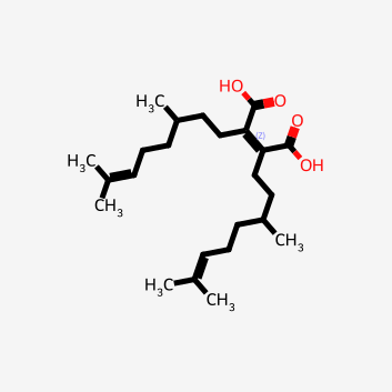 CC(C)=CCCC(C)CC/C(C(=O)O)=C(\CCC(C)CCC=C(C)C)C(=O)O